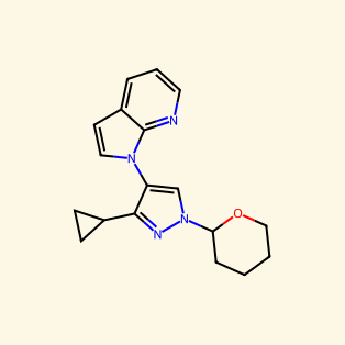 c1cnc2c(c1)ccn2-c1cn(C2CCCCO2)nc1C1CC1